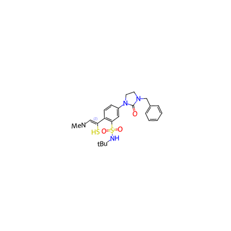 CN/C=C(\S)c1ccc(N2CCN(Cc3ccccc3)C2=O)cc1S(=O)(=O)NC(C)(C)C